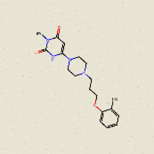 CC(C)n1c(=O)cc(N2CCN(CCCOc3ccccc3C#N)CC2)[nH]c1=O